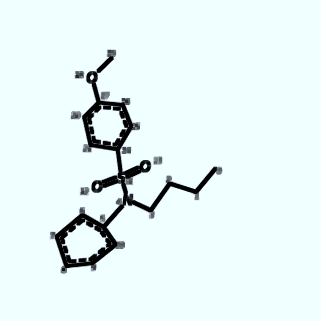 CCCCN(c1ccccc1)S(=O)(=O)c1ccc(OC)cc1